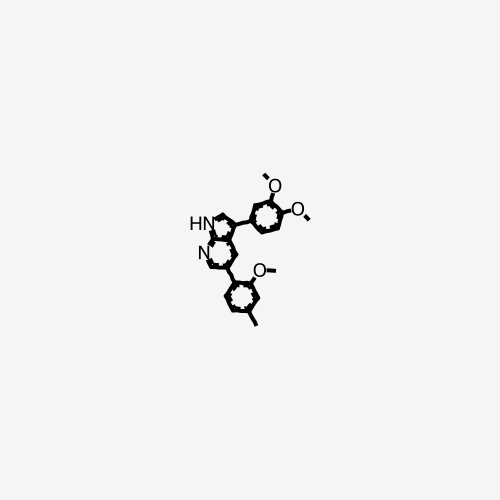 COc1ccc(-c2c[nH]c3ncc(-c4ccc(C)cc4OC)cc23)cc1OC